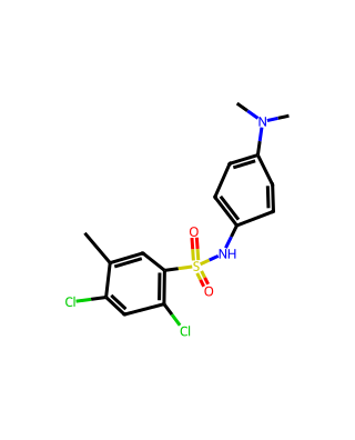 Cc1cc(S(=O)(=O)Nc2ccc(N(C)C)cc2)c(Cl)cc1Cl